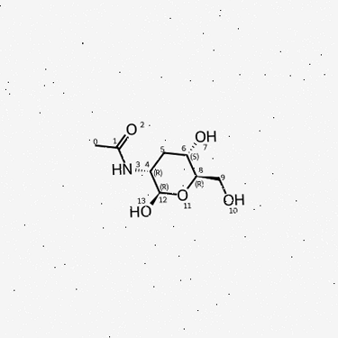 CC(=O)N[C@@H]1C[C@H](O)[C@@H](CO)O[C@H]1O